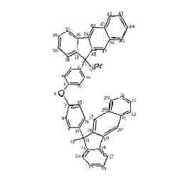 CC(C)C1(c2ccc(Oc3ccc(C4(C)c5ccccc5-c5cc6ccccc6cc54)cc3)cc2)c2ccccc2-c2cc3ccccc3cc21